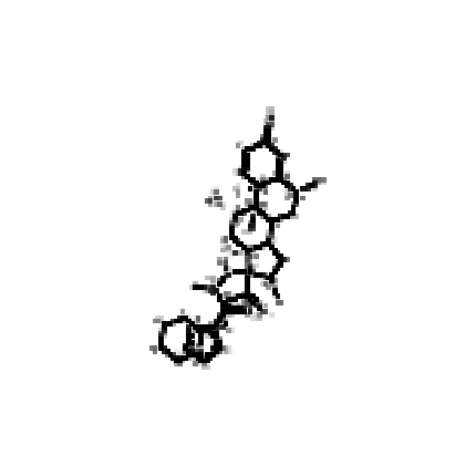 C[C@@H]1CC2C3C[C@H](F)C4=CC(=O)C=C[C@]4(C)[C@@]3(F)[C@@H](O)C[C@]2(C)[C@@]1(ON(C)C(=O)c1ccco1)C(=O)COC1CCCCO1